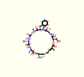 CCC(C)[C@@H]1NC(=O)CN(C)C(=O)[C@@H](Cc2ccccc2)N(C)C(=O)[C@H](C)NC(=O)[C@@H](CC(C)C)OC(=O)/C(C)=C/CC[C@H](C)[C@@H](C(C)CC)NC(=O)[C@@H](C)NC1=O